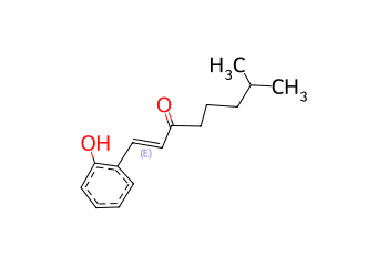 CC(C)CCCC(=O)/C=C/c1ccccc1O